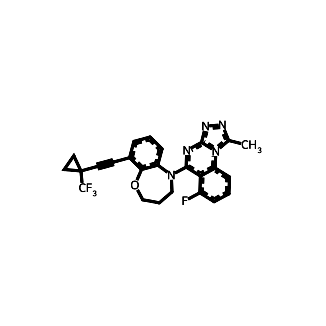 Cc1nnc2nc(N3CCCOc4c(C#CC5(C(F)(F)F)CC5)cccc43)c3c(F)cccc3n12